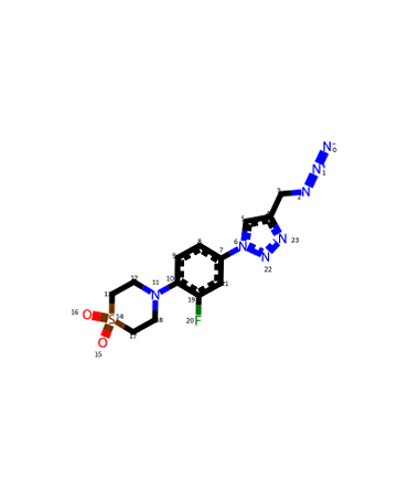 [N-]=[N+]=NCc1cn(-c2ccc(N3CCS(=O)(=O)CC3)c(F)c2)nn1